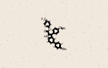 CC(C)Oc1ccc(-c2c(C(=O)Oc3ccc(C(F)(F)F)cn3)[nH]c3ccc(-c4ccc(C(C)(C)C)cc4)cc23)cc1